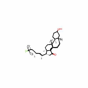 C[C@H](CCCC(F)(C(F)(F)F)C(F)(F)F)[C@H]1CC(=O)C2=C3CC[C@H]4CC(O)CC[C@]4(C)[C@H]3CC[C@@]21C